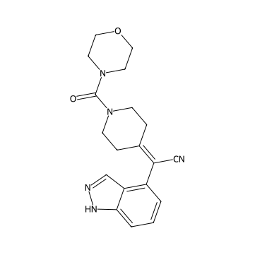 N#CC(=C1CCN(C(=O)N2CCOCC2)CC1)c1cccc2[nH]ncc12